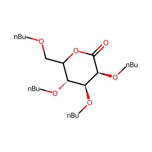 CCCCOCC1OC(=O)[C@@H](OCCCC)[C@@H](OCCCC)[C@@H]1OCCCC